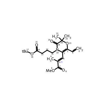 C=CC1=C(/C=C(\C)C(=O)OC)N(CCCC(=O)OC(C)(C)C)C(=O)C(C)(C)O1